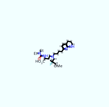 CCN(CC)C(=O)N[C@@H](CCN(CCCCc1ccc2c(n1)NCCC2)CC(C)(F)COC)C(=O)O